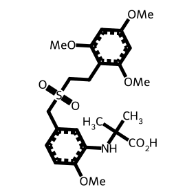 COc1cc(OC)c(CCS(=O)(=O)Cc2ccc(OC)c(NC(C)(C)C(=O)O)c2)c(OC)c1